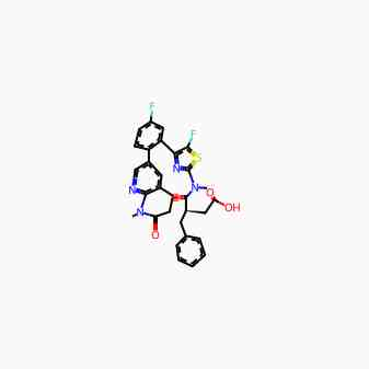 CN(C(=O)[C@@H](CC(=O)O)Cc1ccccc1)c1nc(-c2cc(F)ccc2-c2cnc3c(c2)CCC(=O)N3C)c(F)s1